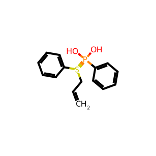 C=CCS(c1ccccc1)=P(O)(O)c1ccccc1